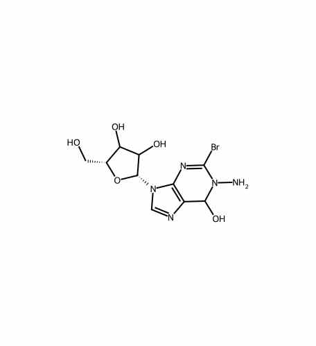 NN1C(Br)=Nc2c(ncn2[C@@H]2O[C@H](CO)C(O)C2O)C1O